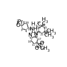 CC(C)Oc1ccc(Nc2nc3ccc(S(C)(=O)=O)cc3n2C2CC(C)(C)CC(C)(C)C2)cc1